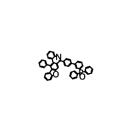 O=P(c1ccccc1)(c1ccccc1)c1cccc(-c2ccc(-c3nc4ccccc4c4c(-c5ccccc5)c5c(cc34)oc3ccccc35)cc2)c1